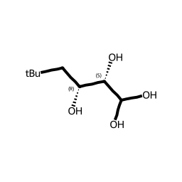 CC(C)(C)C[C@@H](O)[C@H](O)C(O)O